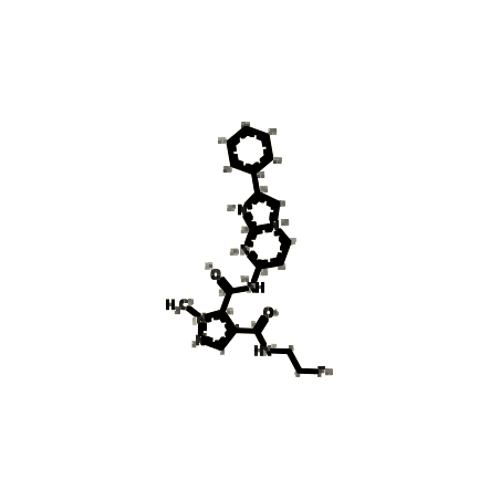 Cn1ncc(C(=O)NCCF)c1C(=O)Nc1ccn2cc(-c3ccccc3)nc2n1